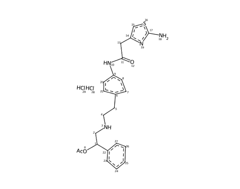 CC(=O)OC(CNCCc1ccc(NC(=O)Cc2csc(N)n2)cc1)c1ccccc1.Cl.Cl